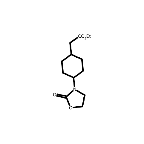 CCOC(=O)CC1CCC(N2CCOC2=O)CC1